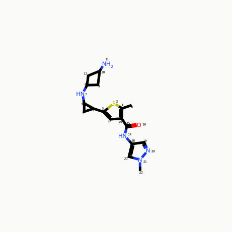 Cc1sc(C2CC2NC2CC(N)C2)cc1C(=O)Nc1cnn(C)c1